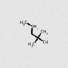 C[SiH2]C[C](C)(C)[Cd]